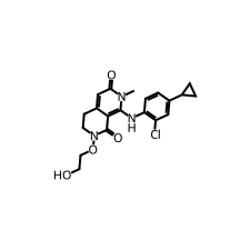 Cn1c(Nc2ccc(C3CC3)cc2Cl)c2c(cc1=O)CCN(OCCO)C2=O